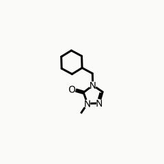 Cn1ncn(CC2CCCCC2)c1=O